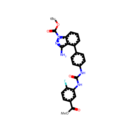 COC(=O)c1ccc(F)c(NC(=O)Nc2ccc(-c3cccc4c3c(N)nn4C(=O)OC(C)(C)C)cc2)c1